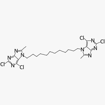 Cc1nc2nc(Cl)nc(Cl)c2n1CCCCCCCCCCCCn1c(C)nc2nc(Cl)nc(Cl)c21